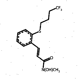 CN(O)C(=O)C=Cc1ccccc1SCCCC(F)(F)F